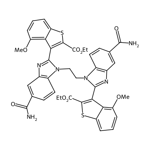 CCOC(=O)c1sc2cccc(OC)c2c1-c1nc2cc(C(N)=O)ccc2n1CCn1c(-c2c(C(=O)OCC)sc3cccc(OC)c23)nc2cc(C(N)=O)ccc21